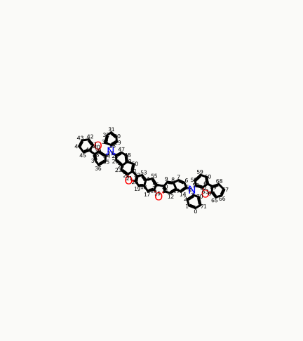 c1ccc(N(c2ccc3cc4c(cc3c2)oc2cc3cc5oc6cc7cc(N(c8ccccc8)c8cccc9c8oc8ccccc89)ccc7cc6c5cc3cc24)c2cccc3c2oc2ccccc23)cc1